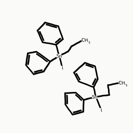 CC[CH2][Sn]([I])([c]1ccccc1)[c]1ccccc1.CC[CH2][Sn]([I])([c]1ccccc1)[c]1ccccc1